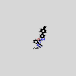 C#Cc1ccc(-c2ccc(NC(=O)NC3(c4ccnc(C#N)n4)CCCCC3)cc2)cc1